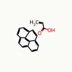 C=CC(=O)O.c1cc2ccc3cccc4ccc(c1)c2c34